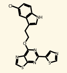 Clc1ccc2[nH]cc(CCOc3nc(-c4cncs4)nc4scnc34)c2c1